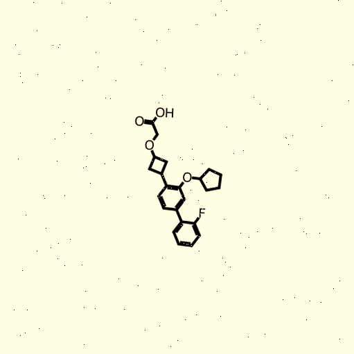 O=C(O)COC1CC(c2ccc(-c3ccccc3F)cc2OC2CCCC2)C1